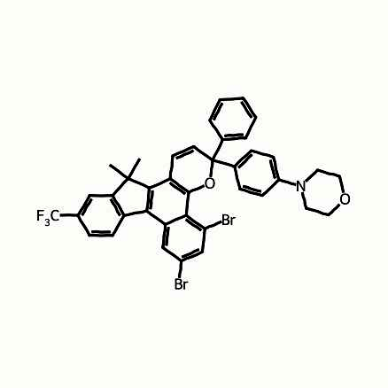 CC1(C)c2cc(C(F)(F)F)ccc2-c2c1c1c(c3c(Br)cc(Br)cc23)OC(c2ccccc2)(c2ccc(N3CCOCC3)cc2)C=C1